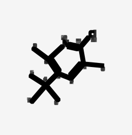 Cc1cc(C(C)(C)C)c(C)nc1Cl